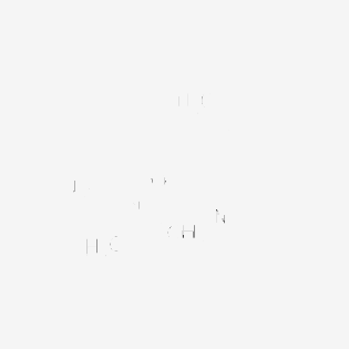 Cc1cccnc1O[Si](C)(C)C